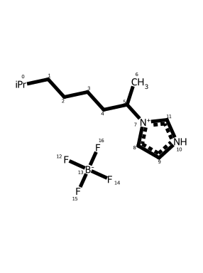 CC(C)CCCCC(C)[n+]1cc[nH]c1.F[B-](F)(F)F